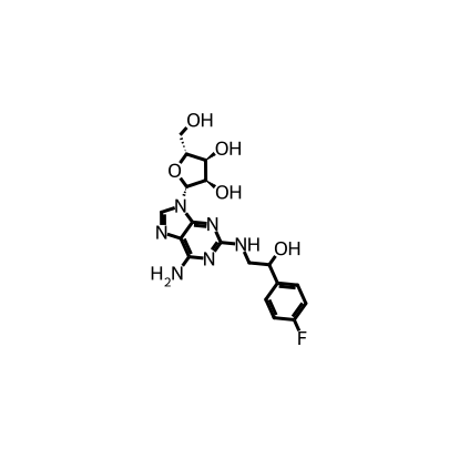 Nc1nc(NCC(O)c2ccc(F)cc2)nc2c1ncn2[C@@H]1O[C@H](CO)[C@@H](O)[C@H]1O